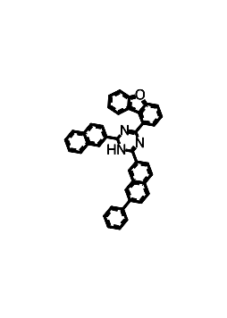 c1ccc(-c2ccc3ccc(C4=NC(c5cccc6oc7ccccc7c56)=NC(c5ccc6ccccc6c5)N4)cc3c2)cc1